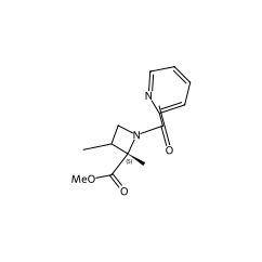 COC(=O)[C@]1(C)C(C)CN1C(=O)c1ccccn1